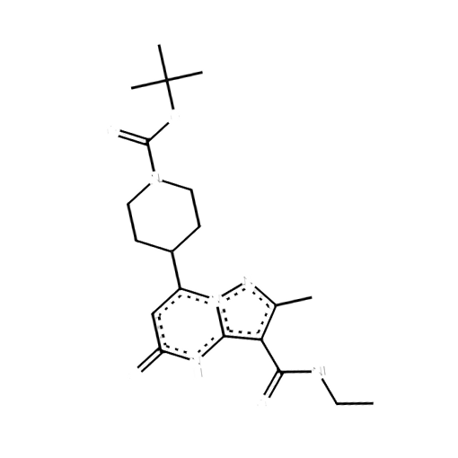 CCNC(=O)c1c(C)nn2c(C3CCN(C(=O)OC(C)(C)C)CC3)cc(=O)[nH]c12